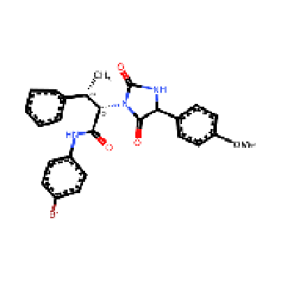 COc1ccc(C2NC(=O)N([C@H](C(=O)Nc3ccc(Br)cc3)[C@@H](C)c3ccccc3)C2=O)cc1